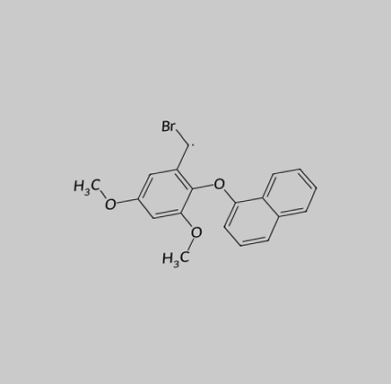 COc1cc([CH]Br)c(Oc2cccc3ccccc23)c(OC)c1